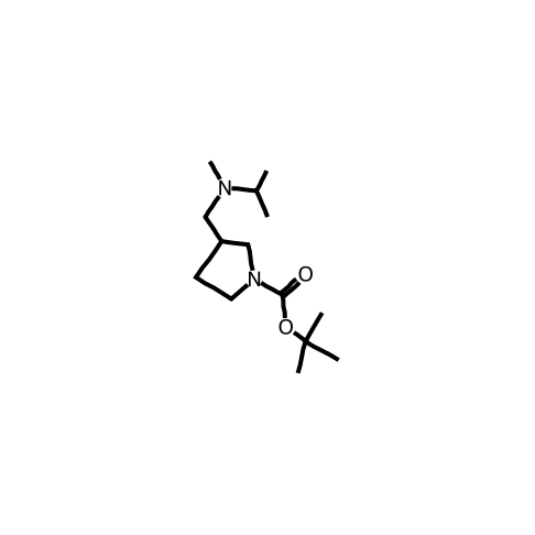 CC(C)N(C)CC1CCN(C(=O)OC(C)(C)C)C1